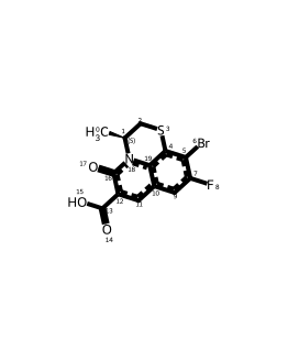 C[C@H]1CSc2c(Br)c(F)cc3cc(C(=O)O)c(=O)n1c23